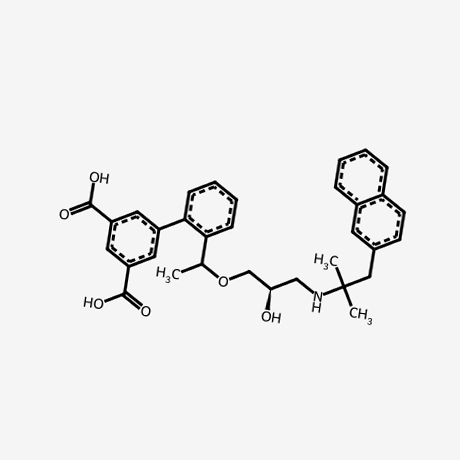 CC(OC[C@H](O)CNC(C)(C)Cc1ccc2ccccc2c1)c1ccccc1-c1cc(C(=O)O)cc(C(=O)O)c1